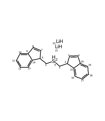 C1=CC(C[SiH2]CC2C=Cc3ccccc32)c2ccccc21.[LiH].[LiH]